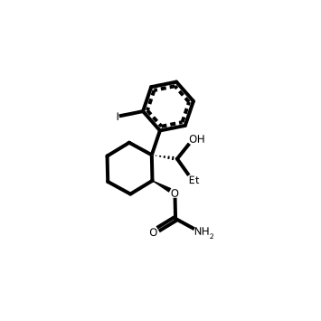 CCC(O)[C@@]1(c2ccccc2I)CCCC[C@@H]1OC(N)=O